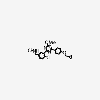 COc1nc(-c2ccc(OCC3CC3)cc2)nc(-c2cc(CNCl)ccc2Cl)n1